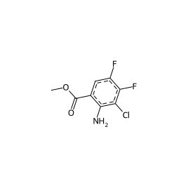 COC(=O)c1cc(F)c(F)c(Cl)c1N